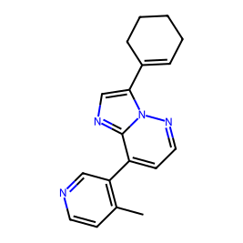 Cc1ccncc1-c1ccnn2c(C3=CCCCC3)cnc12